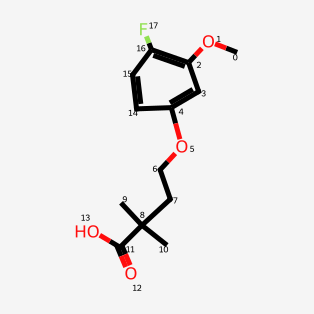 COc1cc(OCCC(C)(C)C(=O)O)ccc1F